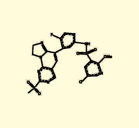 COc1ncc(Cl)cc1S(=O)(=O)Nc1ccc(F)c(C2=Cc3cnc(S(C)(=O)=O)nc3N3CCN=C23)c1